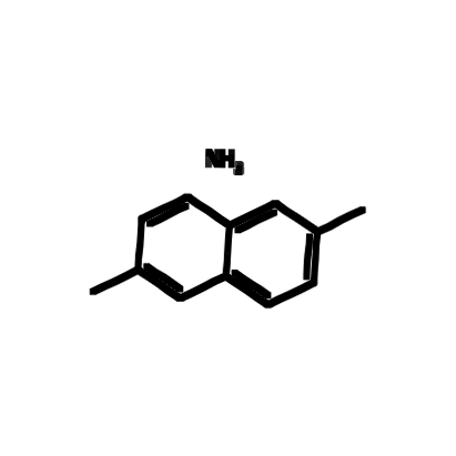 Cc1ccc2cc(C)ccc2c1.N